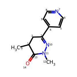 CC1CC(c2ccncc2)=NN(C)C1=O